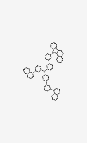 c1cc(-c2ccc(N(c3cccc(-c4cccc(-n5c6ccccc6c6ccc7ccccc7c65)c4)c3)c3cccc(-c4cccc5ccccc45)c3)cc2)cc(-c2cccc3ccccc23)c1